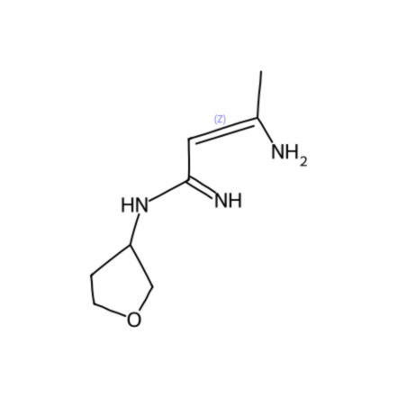 C/C(N)=C/C(=N)NC1CCOC1